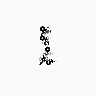 C=CCn1c(=O)c2cnc(Nc3ccc(N4CCN(C(=O)c5cc(Cc6n[nH]c(=O)c7ccccc67)ccc5F)CC4)cc3)nc2n1-c1cccc(C(C)(C)O)n1